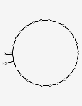 O=C1CCCCCCCCCCCCCCCCCCCCCCCCC1O